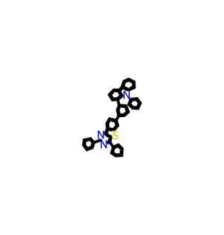 c1ccc(-c2nc(-c3ccccc3)c3sc4cc(-c5cccc(-c6cccc7c8ccccc8n(-c8ccccc8)c67)c5)ccc4c3n2)cc1